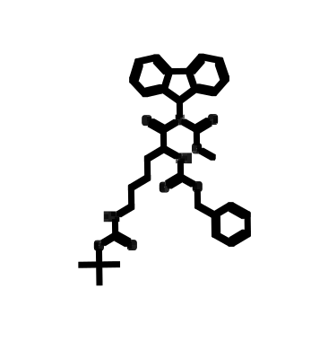 COC(=O)N(C(=O)C(CCCCNC(=O)OC(C)(C)C)NC(=O)OCc1ccccc1)C1c2ccccc2-c2ccccc21